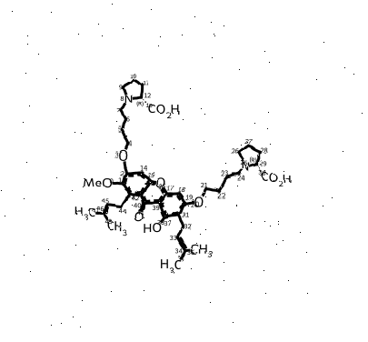 COc1c(OCCCCN2CCC[C@@H]2C(=O)O)cc2oc3cc(OCCCCN4CCC[C@@H]4C(=O)O)c(CC=C(C)C)c(O)c3c(=O)c2c1CC=C(C)C